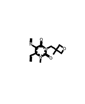 C=Cc1c(N=C)c(=O)n(CC2(C)COC2)c(=O)n1C